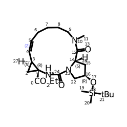 CCOC(=O)[C@@]12C[C@H]1/C=C\CCCCN(C)C(=O)[C@@H]1C[C@@H](O[Si](C)(C)C(C)(C)C)CN1C(=O)N2